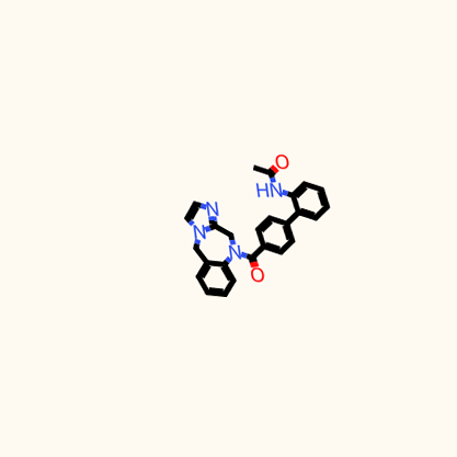 CC(=O)Nc1ccccc1-c1ccc(C(=O)N2Cc3nccn3Cc3ccccc32)cc1